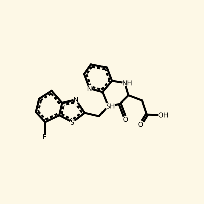 O=C(O)CC1Nc2cccnc2[SH](Cc2nc3cccc(F)c3s2)C1=O